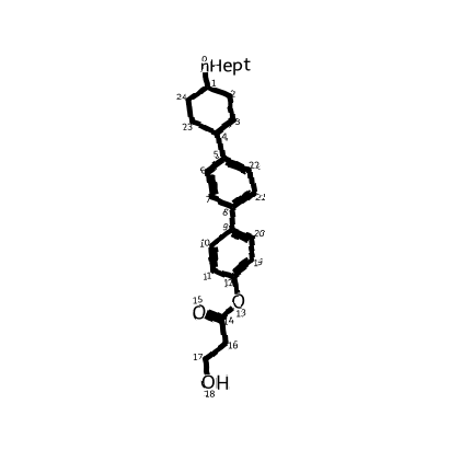 CCCCCCCC1CCC(c2ccc(-c3ccc(OC(=O)CCO)cc3)cc2)CC1